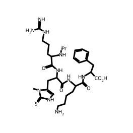 CC(C)NC(CCCNC(=N)N)C(=O)NC(Cc1c[nH]c(=S)n1C)C(=O)NC(CCCCN)C(=O)NC(Cc1ccccc1)C(=O)O